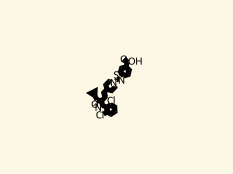 O=C(O)c1ccc2nc(N3CCC(/C=C/c4c(-c5c(Cl)cccc5Cl)noc4C4CC4)CC3)sc2c1